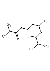 CC(CCOC(=O)C(C)C)OC(C)C(C)C